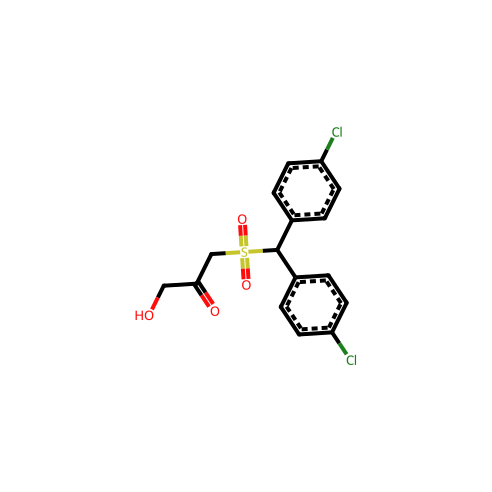 O=C(CO)CS(=O)(=O)C(c1ccc(Cl)cc1)c1ccc(Cl)cc1